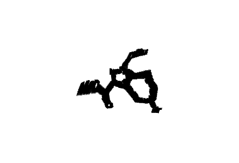 CCCCn1nc(C(=O)OC)c2cc(Br)ccc21